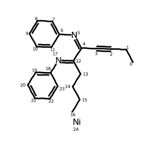 CCC#CC(=Nc1ccccc1)C(CCCC)=Nc1ccccc1.[Ni]